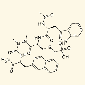 CC(=O)N[C@@H](Cc1csc2ccccc12)C(=O)N[C@@H](CSCP(=O)(O)O)C(=O)N(C)N(C)C(=O)N[C@@H](Cc1ccc2ccccc2c1)C(N)=O